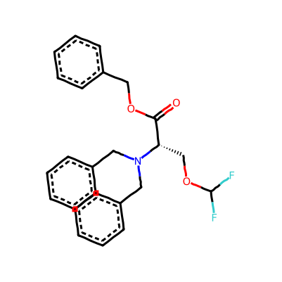 O=C(OCc1ccccc1)[C@H](COC(F)F)N(Cc1ccccc1)Cc1ccccc1